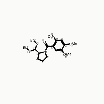 CCSC(SCC)[C@@H]1CCCN1C(=O)c1cc(OC)c(OC)cc1[N+](=O)[O-]